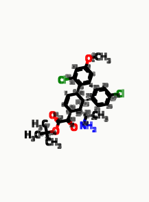 COc1ccc([C@@H]2C=C[C@H](C(=O)C(=O)OC(C)(C)C)[C@@H]([C@H](C)N)[C@H]2c2ccc(Cl)cc2)c(Cl)c1